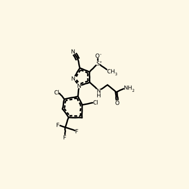 C[S+]([O-])c1c(C#N)nn(-c2c(Cl)cc(C(F)(F)F)cc2Cl)c1NCC(N)=O